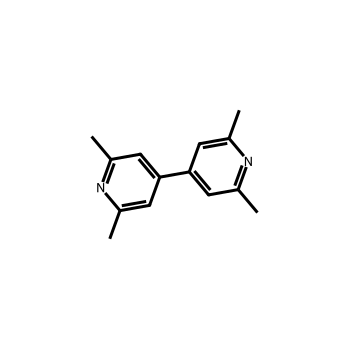 Cc1cc(-c2cc(C)nc(C)c2)cc(C)n1